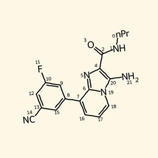 CCCNC(=O)c1nc2c(-c3cc(F)cc(C#N)c3)cccn2c1N